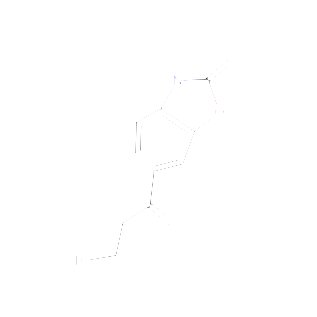 O=C(CCBr)c1ccc2[nH]c(=O)oc2c1